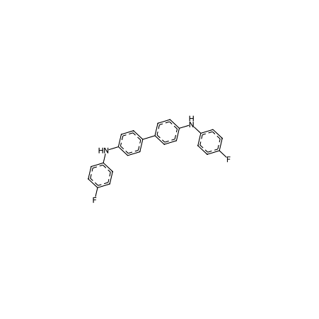 Fc1ccc(Nc2ccc(-c3ccc(Nc4ccc(F)cc4)cc3)cc2)cc1